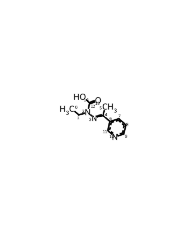 CCN(N=C(C)c1cccnc1)C(=O)O